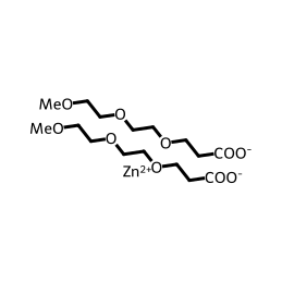 COCCOCCOCCC(=O)[O-].COCCOCCOCCC(=O)[O-].[Zn+2]